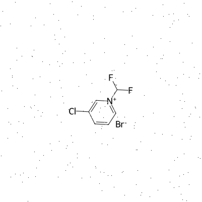 FC(F)[n+]1cccc(Cl)c1.[Br-]